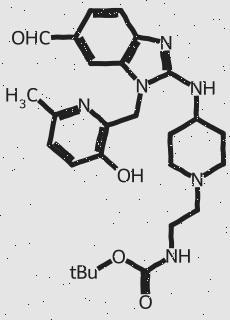 Cc1ccc(O)c(Cn2c(NC3CCN(CCNC(=O)OC(C)(C)C)CC3)nc3ccc(C=O)cc32)n1